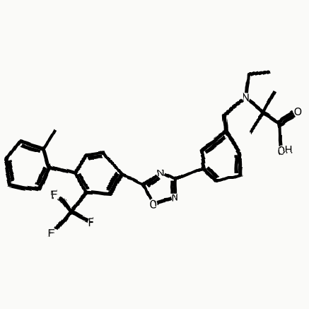 CCN(Cc1cccc(-c2noc(-c3ccc(-c4ccccc4C)c(C(F)(F)F)c3)n2)c1)C(C)(C)C(=O)O